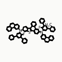 CC1C=CC=CC1c1cc(-c2ccccc2)c(F)c(N(c2ccc3ccc4ccccc4c3c2)c2ccc3c(c2)c2ccccc2c2c4c(sc32)=C[C@@H](N(c2ccc3ccc5ccccc5c3c2)c2cc(-c3ccccc3)cc(-c3ccccc3)c2F)CC=4)c1